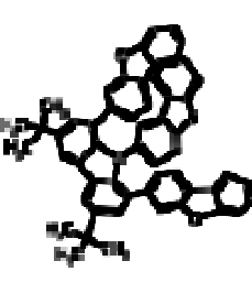 CC(C)(C)c1cc(-c2ccc3c(c2)oc2ccccc23)c2c(c1)c1cc(C(C)(C)C)cc(-c3ccc4c(c3)oc3ccccc34)c1n2-c1ccc2sc3ccccc3c2c1